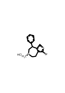 CN1CCc2c(csc2Br)C(c2ccccc2)C1.Cl